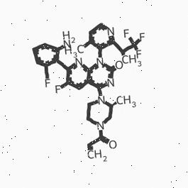 C=CC(=O)N1CCN(c2nc(=O)n(-c3c(C)ccnc3C(C)C(F)(F)F)c3nc(-c4c(N)cccc4F)c(F)cc23)[C@@H](C)C1